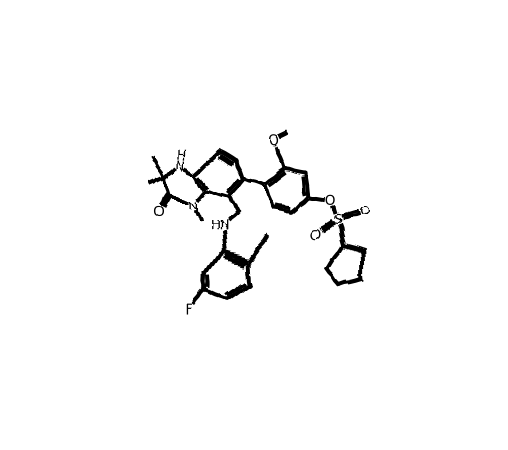 COc1cc(OS(=O)(=O)C2CCCC2)ccc1-c1ccc2c(c1CNc1cc(F)ccc1C)N(C)C(=O)C(C)(C)N2